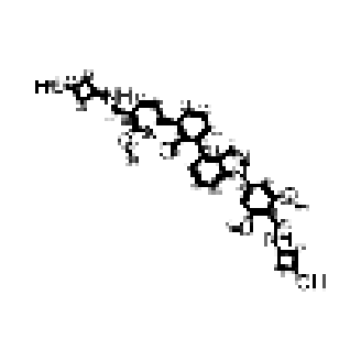 COc1cc(-n2ncc3c(-c4cccc(-c5ccc(CNC6CC(O)C6)c(OC)n5)c4Cl)cccc32)cc(OC)c1CN[C@H]1C[C@@H](O)C1